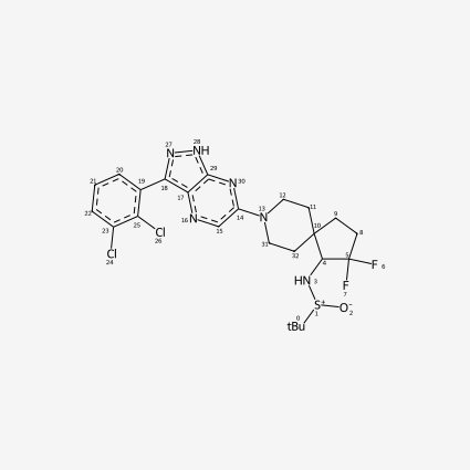 CC(C)(C)[S+]([O-])NC1C(F)(F)CCC12CCN(c1cnc3c(-c4cccc(Cl)c4Cl)n[nH]c3n1)CC2